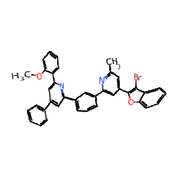 COc1ccccc1-c1cc(-c2ccccc2)cc(-c2cccc(-c3cc(-c4oc5ccccc5c4Br)cc(C)n3)c2)n1